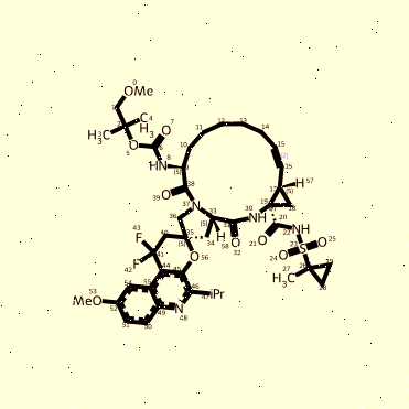 COCC(C)(C)OC(=O)N[C@H]1CCCCC/C=C\[C@@H]2C[C@@]2(C(=O)NS(=O)(=O)C2(C)CC2)NC(=O)[C@@H]2C[C@@]3(CN2C1=O)CC(F)(F)c1c(c(C(C)C)nc2ccc(OC)cc12)O3